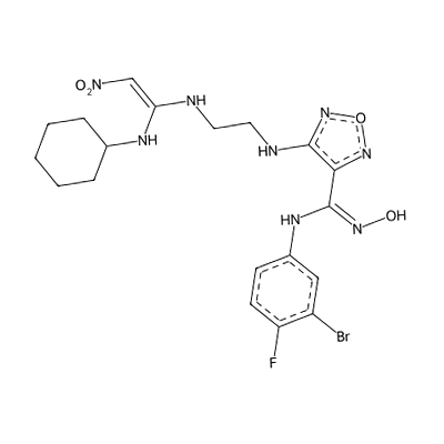 O=[N+]([O-])C=C(NCCNc1nonc1C(=NO)Nc1ccc(F)c(Br)c1)NC1CCCCC1